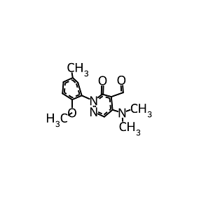 COc1ccc(C)cc1-n1ncc(N(C)C)c(C=O)c1=O